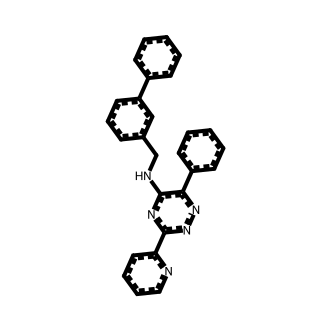 c1ccc(-c2cccc(CNc3nc(-c4ccccn4)nnc3-c3ccccc3)c2)cc1